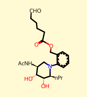 CCC[C@H]1[C@H](O)[C@H](O)[C@@H](NC(C)=O)CN1c1ccccc1COC(=O)CCCCC=O